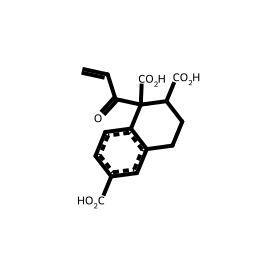 C=CC(=O)C1(C(=O)O)c2ccc(C(=O)O)cc2CCC1C(=O)O